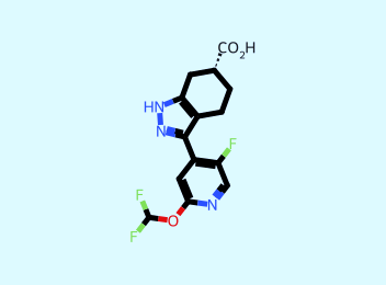 O=C(O)[C@@H]1CCc2c(-c3cc(OC(F)F)ncc3F)n[nH]c2C1